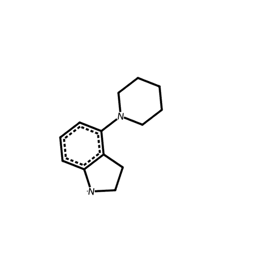 c1cc2c(c(N3CCCCC3)c1)CC[N]2